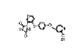 CCOc1cc(COc2ccc(Sc3ccncc3C3NC(=O)NC3=O)cc2)ccn1